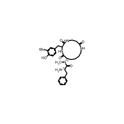 CN(C(=O)[C@@H](N)Cc1ccccc1)[C@H]1CCCCNC(=O)CCNC(=O)C(Cc2ccc(O)c(C(C)(C)C)c2)NC1=O